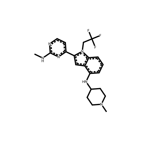 CNc1nccc(-c2cc3c(NC4CCN(C)CC4)cccc3n2CC(F)(F)F)n1